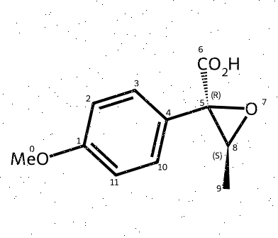 COc1ccc([C@@]2(C(=O)O)O[C@H]2C)cc1